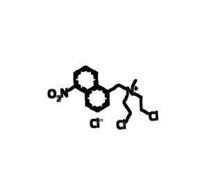 C[N+](CCCl)(CCCl)Cc1cccc2c([N+](=O)[O-])cccc12.[Cl-]